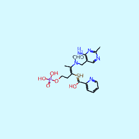 C/C(=C(CCOP(=O)(O)O)/[SH]=C(\O)c1ccccn1)N(C=O)Cc1cnc(C)nc1N